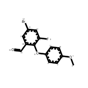 COc1ccc(Oc2c(F)cc(Br)cc2C=O)cc1